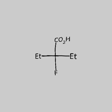 CCC(F)(CC)C(=O)O